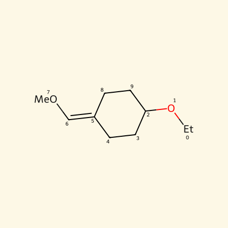 CCOC1CCC(=COC)CC1